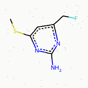 CSc1cc(CF)nc(N)n1